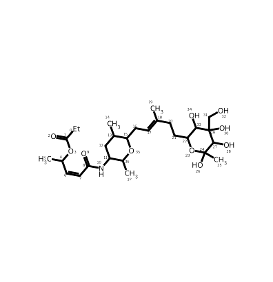 CCC(=O)OC(C)/C=C\C(=O)NC1CC(C)C(C/C=C(\C)CCC2OC(C)(O)C(O)C(O)(CO)C2O)OC1C